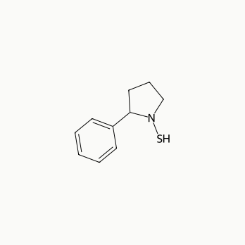 SN1CCCC1c1ccccc1